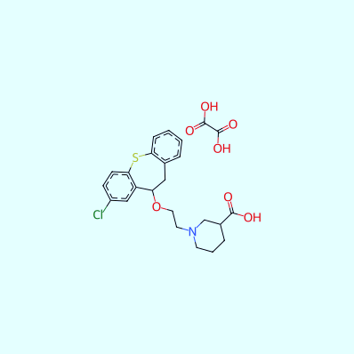 O=C(O)C(=O)O.O=C(O)C1CCCN(CCOC2Cc3ccccc3Sc3ccc(Cl)cc32)C1